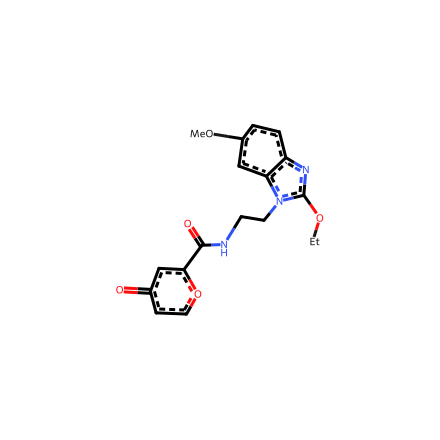 CCOc1nc2ccc(OC)cc2n1CCNC(=O)c1cc(=O)cco1